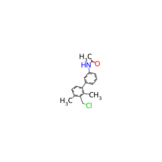 CC(=O)Nc1cccc(-c2ccc(C)c(CCl)c2C)c1